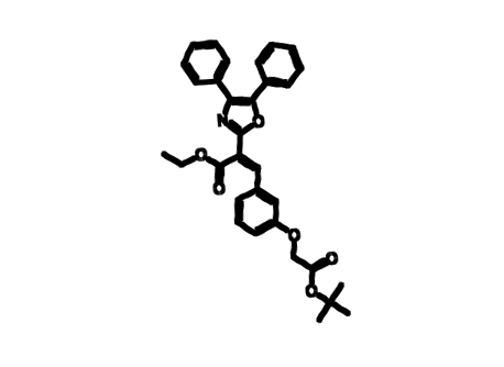 CCOC(=O)/C(=C\c1cccc(OCC(=O)OC(C)(C)C)c1)c1nc(-c2ccccc2)c(-c2ccccc2)o1